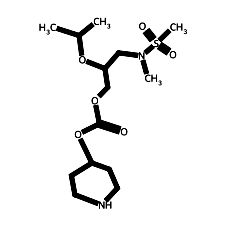 CC(C)OC(COC(=O)OC1CCNCC1)CN(C)S(C)(=O)=O